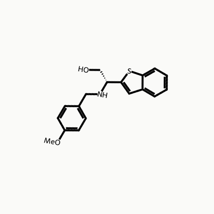 COc1ccc(CN[C@H](CO)c2cc3ccccc3s2)cc1